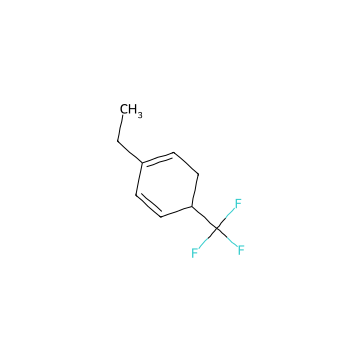 CCC1=CCC(C(F)(F)F)C=C1